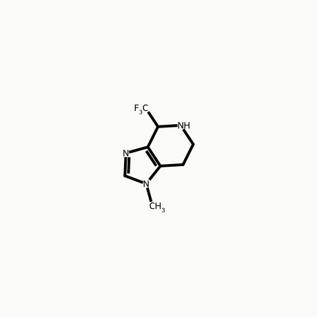 Cn1cnc2c1CCNC2C(F)(F)F